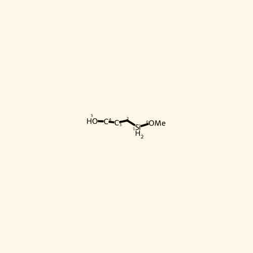 CO[SiH2]CCCO